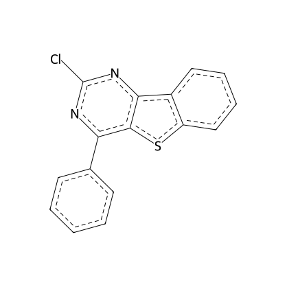 Clc1nc(-c2ccccc2)c2sc3ccccc3c2n1